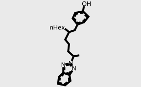 CCCCCCC(CCCC(C)n1nc2ccccc2n1)Cc1ccc(O)cc1